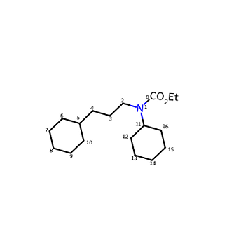 CCOC(=O)N(CCCC1CCCCC1)C1CCCCC1